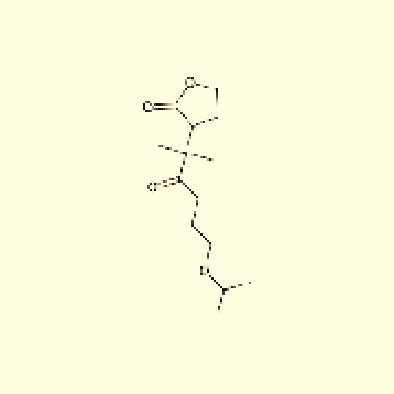 CC(C)OCCCC(=O)C(C)(C)C1CCOC1=O